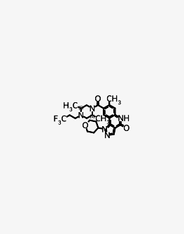 Cc1cc2[nH]c(=O)c3cnn(C4CCOCC4)c3c2cc1C(=O)N1C[C@H](C)N(CCC(F)(F)F)C[C@@H]1C